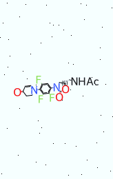 CC(=O)NC[C@H]1CN(c2cc(F)c(N3C=CC(=O)CC3)c(F)c2F)C(=O)O1